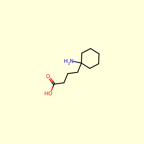 NC1(CCCC(=O)O)CCCCC1